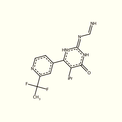 CC(C)c1c(-c2ccnc(C(C)(F)F)c2)[nH]/c(=N/C=N)[nH]c1=O